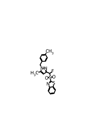 Cc1ccc(Cn2nc(C(F)S(=O)(=O)c3nc4ccccc4s3)cc2C)cc1